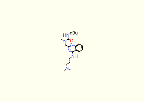 CCCCNC(=O)N(C)Cc1nc(NCCCN(C)C)c2ccccc2n1